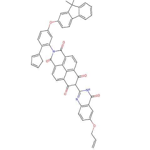 C=CCOc1ccc2nc(C3C(=O)c4ccc5c6c(ccc(c46)C3=O)C(=O)N(c3cc(Oc4ccc6c(c4)C(C)(C)c4ccccc4-6)ccc3C3=CC=CC3)C5=O)[nH]c(=O)c2c1